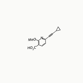 COc1nc(C#CC2CC2)ccc1C(=O)O